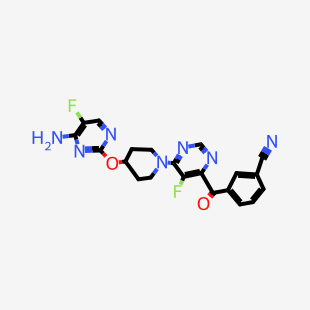 N#Cc1cccc(C(=O)c2ncnc(N3CCC(Oc4ncc(F)c(N)n4)CC3)c2F)c1